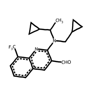 CC(C1CC1)N(CC1CC1)c1nc2c(C(F)(F)F)cccc2cc1C=O